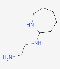 NCCNC1CCCCCN1